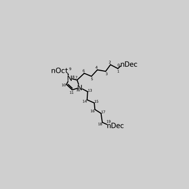 CCCCCCCCCCCCCCCCC1N(CCCCCCCC)C=CN1CCCCCCCCCCCCCCCC